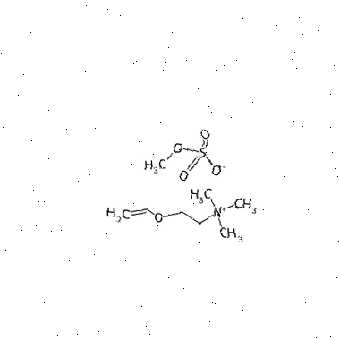 C=COCC[N+](C)(C)C.COS(=O)(=O)[O-]